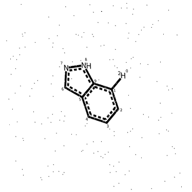 [2H]c1cccc2cn[nH]c12